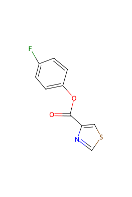 O=C(Oc1ccc(F)cc1)c1cscn1